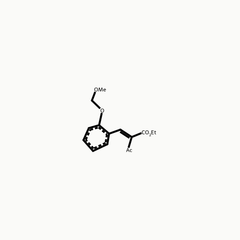 CCOC(=O)C(=Cc1ccccc1OCOC)C(C)=O